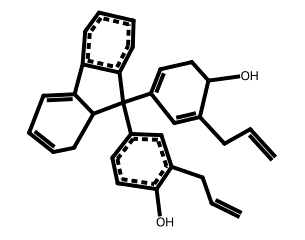 C=CCC1=CC(C2(c3ccc(O)c(CC=C)c3)c3ccccc3C3=CC=CCC32)=CCC1O